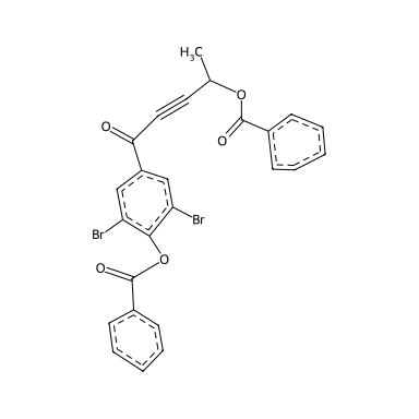 CC(C#CC(=O)c1cc(Br)c(OC(=O)c2ccccc2)c(Br)c1)OC(=O)c1ccccc1